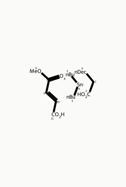 CCCCCCCCCCCC(=O)O.CCC[CH2][Sn][CH2]CCC.COC(=O)C=CC(=O)O